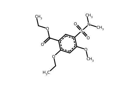 CCOC(=O)c1cc(S(=O)(=O)N(C)C)c(OC)cc1OCC